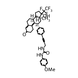 COc1ccc(NC(=O)NCC#Cc2ccc([C@H]3C[C@@]4(C)[C@@H](CC[C@@]4(O)C(F)(F)C(F)(F)F)[C@@H]4CCC5=CC(=O)CCC5=C43)cc2)cc1